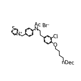 CCCCCCCCCCCCCCOc1ccc(CCN(C(C)=O)c2ccc(C[n+]3ccsc3)cc2)cc1Cl.[Br-]